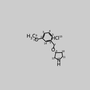 COc1cccc(CO[C@@H]2CCNC2)c1.Cl